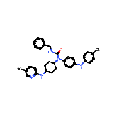 N#Cc1ccc(Nc2ccc(N(C(=O)NCc3ccccc3)C3CCC(Nc4ccc(C#N)cn4)CC3)cc2)cc1